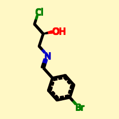 O[C@H](CCl)C/N=C/c1ccc(Br)cc1